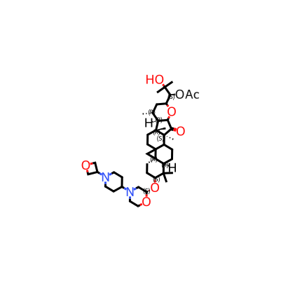 CC(=O)O[C@@H](C1C[C@@H](C)[C@H]2C(O1)C(=O)[C@@]1(C)C3CC[C@H]4C(C)(C)[C@@H](O[C@H]5CN(C6CCN(C7COC7)CC6)CCO5)CC[C@@]45CC35CC[C@]21C)C(C)(C)O